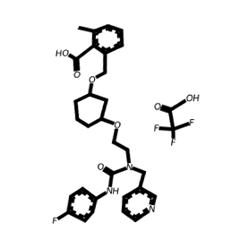 Cc1cccc(COC2CCCC(OCCN(Cc3cccnc3)C(=O)Nc3ccc(F)cc3)C2)c1C(=O)O.O=C(O)C(F)(F)F